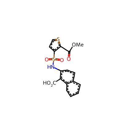 COC(=O)c1sccc1S(=O)(=O)Nc1ccc2ccccc2c1C(=O)O